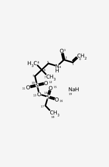 C=CC(=O)NCC(C)(C)CS(=O)(=O)OS(=O)(=O)CC.[NaH]